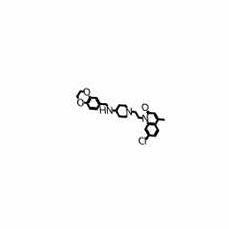 Cc1cc(=O)n(CCN2CCC(NCc3ccc4c(c3)OCCO4)CC2)c2cc(Cl)ccc12